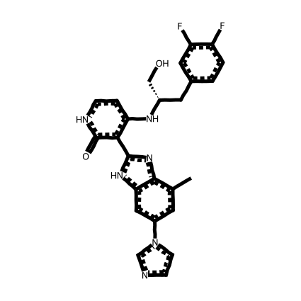 Cc1cc(-n2ccnc2)cc2[nH]c(-c3c(N[C@H](CO)Cc4ccc(F)c(F)c4)cc[nH]c3=O)nc12